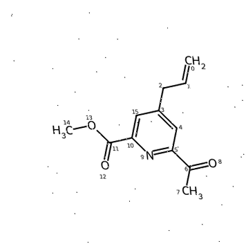 C=CCc1cc(C(C)=O)nc(C(=O)OC)c1